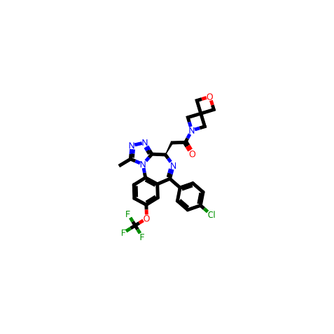 Cc1nnc2n1-c1ccc(OC(F)(F)F)cc1C(c1ccc(Cl)cc1)=N[C@@H]2CC(=O)N1CC2(COC2)C1